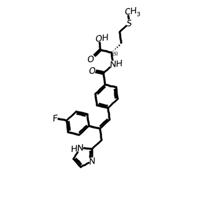 CSCC[C@H](NC(=O)c1ccc(C=C(Cc2ncc[nH]2)c2ccc(F)cc2)cc1)C(=O)O